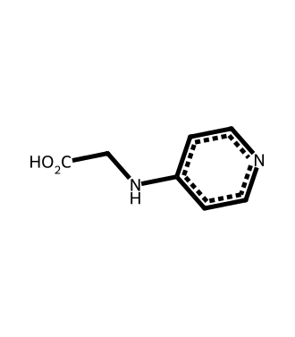 O=C(O)CNc1ccncc1